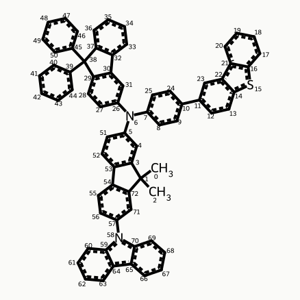 CC1(C)c2cc(N(c3ccc(-c4ccc5sc6ccccc6c5c4)cc3)c3ccc4c(c3)-c3ccccc3C4(c3ccccc3)c3ccccc3)ccc2-c2ccc(-n3c4ccccc4c4ccccc43)cc21